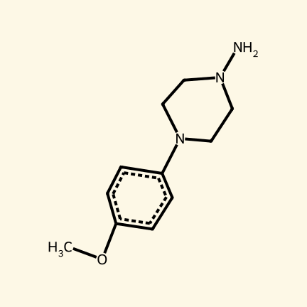 COc1ccc(N2CCN(N)CC2)cc1